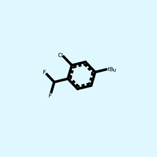 CC(C)(C)c1ccc(C(F)F)c(Cl)c1